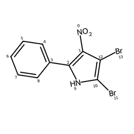 O=[N+]([O-])c1c(-c2ccccc2)[nH]c(Br)c1Br